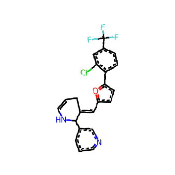 FC(F)(F)c1ccc(-c2ccc(C=C3CC=CNC3c3cccnc3)o2)c(Cl)c1